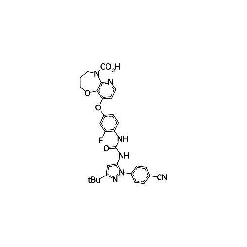 CC(C)(C)c1cc(NC(=O)Nc2ccc(Oc3ccnc4c3OCCCN4C(=O)O)cc2F)n(-c2ccc(C#N)cc2)n1